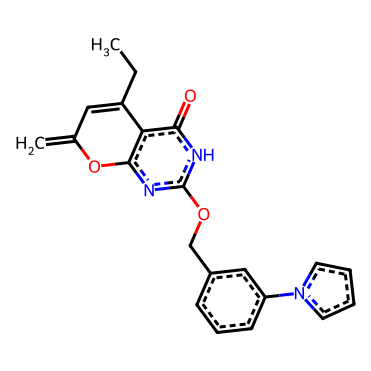 C=C1C=C(CC)c2c(nc(OCc3cccc(-n4cccc4)c3)[nH]c2=O)O1